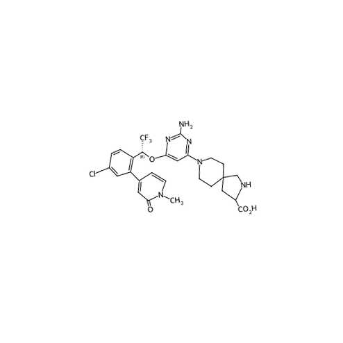 Cn1ccc(-c2cc(Cl)ccc2[C@@H](Oc2cc(N3CCC4(CC3)CNC(C(=O)O)C4)nc(N)n2)C(F)(F)F)cc1=O